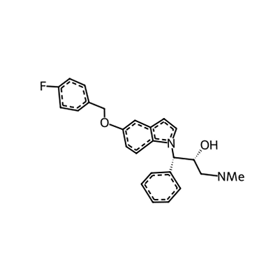 CNC[C@@H](O)[C@H](c1ccccc1)n1ccc2cc(OCc3ccc(F)cc3)ccc21